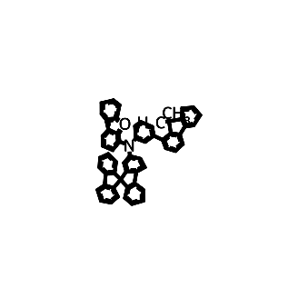 CC1(C)c2ccccc2-c2cccc(-c3cccc(N(c4ccc5c(c4)C4(c6ccccc6-c6ccccc64)c4ccccc4-5)c4cccc5c4oc4ccccc45)c3)c21